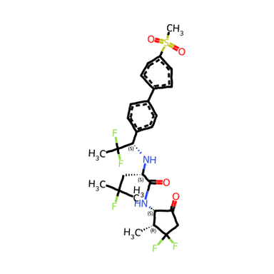 C[C@@H]1[C@H](NC(=O)[C@H](CC(C)(C)F)N[C@@H](c2ccc(-c3ccc(S(C)(=O)=O)cc3)cc2)C(C)(F)F)C(=O)CC1(F)F